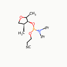 [C-]#[N+]CCOP(O[C@@H]1C(C)OC[C@@H]1C)N(C(C)C)C(C)C